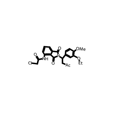 CCOc1cc(C(CC(C)=O)N2C(=O)c3cccc(NC(=O)CCl)c3C2=O)ccc1OC